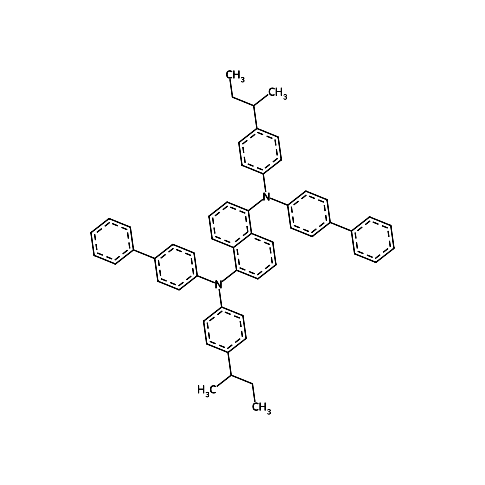 CCC(C)c1ccc(N(c2ccc(-c3ccccc3)cc2)c2cccc3c(N(c4ccc(-c5ccccc5)cc4)c4ccc(C(C)CC)cc4)cccc23)cc1